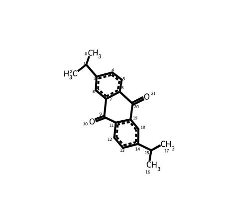 CC(C)c1ccc2c(c1)C(=O)c1ccc(C(C)C)cc1C2=O